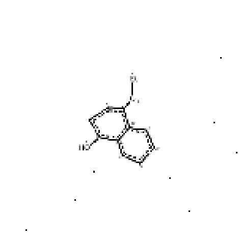 CCOc1ccc(O)c2ccccc12